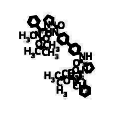 CN(C(=O)OC(C)(C)C)[C@H](C(=O)N1CCC[C@H]1C(=O)Nc1ccc(-c2ccc(NC(=O)[C@@H]3CCCN3C(=O)[C@H](Cc3ccccc3)N(C)C(=O)OC(C)(C)C)cc2)cc1)c1ccccc1